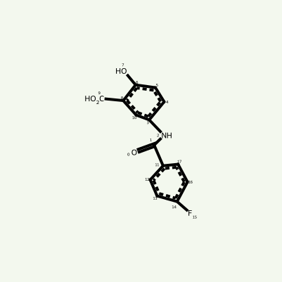 O=C(Nc1ccc(O)c(C(=O)O)c1)c1ccc(F)cc1